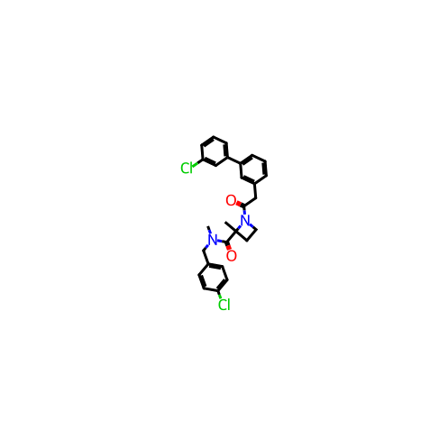 CN(Cc1ccc(Cl)cc1)C(=O)C1(C)CCN1C(=O)Cc1cccc(-c2cccc(Cl)c2)c1